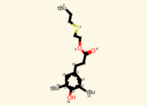 CC(C)(C)CCSCCOC(=O)CCc1cc(C(C)(C)C)c(O)c(C(C)(C)C)c1